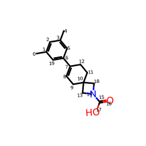 Cc1cc(C)cc(C2=CCC3(CC2)CN(C(=O)O)C3)c1